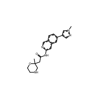 Cn1cc(-c2ccc3cnc(NC(=O)CC4(C)CNCCO4)cc3c2)cn1